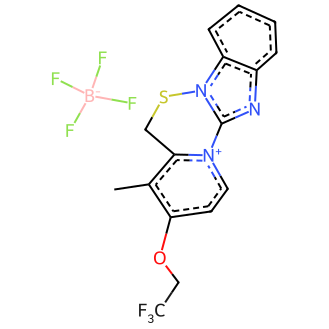 Cc1c(OCC(F)(F)F)cc[n+]2c1CSn1c-2nc2ccccc21.F[B-](F)(F)F